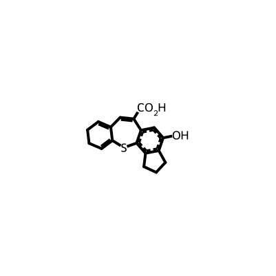 O=C(O)C1=CC2=CCCC=C2Sc2c1cc(O)c1c2CCC1